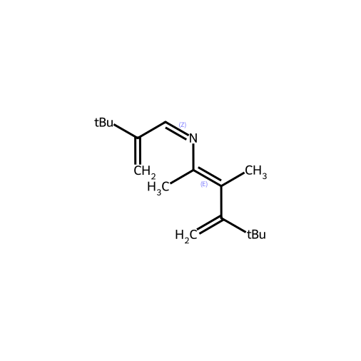 C=C(/C=N\C(C)=C(/C)C(=C)C(C)(C)C)C(C)(C)C